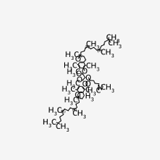 Cc1c(C)c2c(c(C)c1OC(=O)C(OC(=O)CCCN(C)C)C(=O)Oc1c(C)c(C)c3c(c1C)CC[C@@](C)(CCC[C@H](C)CCC[C@H](C)CCCC(C)C)O3)CC[C@@](C)(CCC[C@H](C)CCC[C@H](C)CCCC(C)C)O2